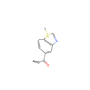 COC(=O)c1ccc2c(c1)N=C[SH]2C